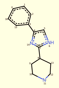 c1ccc(-c2c[nH]c(C3CC[N]CC3)n2)cc1